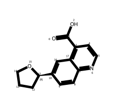 O=C(O)c1ccnc2ccc([C@H]3CCCO3)cc12